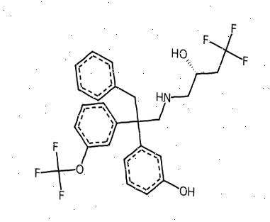 Oc1cccc(C(CNC[C@H](O)CC(F)(F)F)(Cc2ccccc2)c2cccc(OC(F)(F)F)c2)c1